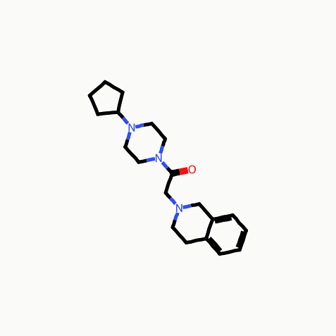 O=C(CN1CCc2ccccc2C1)N1CCN(C2CCCC2)CC1